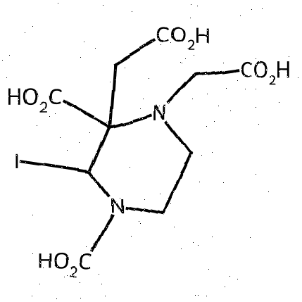 O=C(O)CN1CCN(C(=O)O)C(I)C1(CC(=O)O)C(=O)O